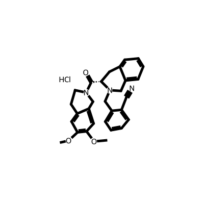 COc1cc2c(cc1OC)CN(C(=O)[C@@H]1Cc3ccccc3CN1Cc1ccccc1C#N)CC2.Cl